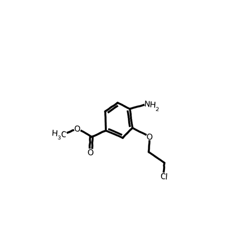 COC(=O)c1ccc(N)c(OCCCl)c1